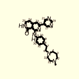 CN1CCCN(CCc2ccc(Nc3nc(-c4cncnc4)cc4cc[nH]c(=O)c34)cc2)CC1